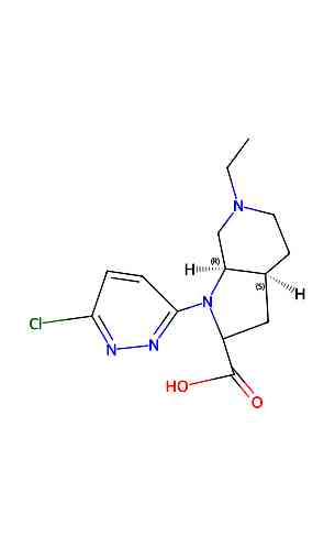 CCN1CC[C@H]2CC(C(=O)O)N(c3ccc(Cl)nn3)[C@H]2C1